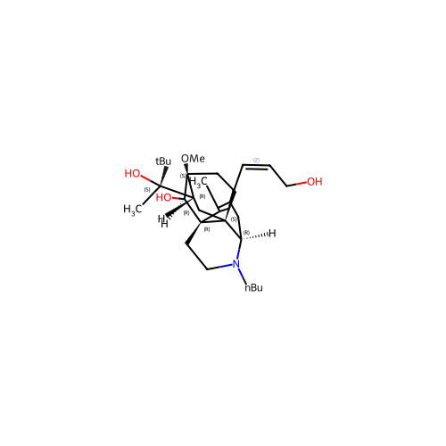 CCCCN1CC[C@@]23C(C)=C(/C=C\CO)C[C@@H]1[C@]21CC[C@](OC)([C@@H]([C@](C)(O)C(C)(C)C)C1)[C@@H]3O